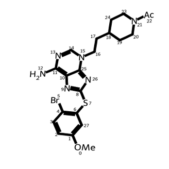 COc1ccc(Br)c(Sc2nc3c(N)ncn(CCC4CCN(C(C)=O)CC4)c-3n2)c1